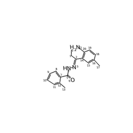 CC/C(=N\NC(=O)c1ccccc1C)c1cc(C)ccc1N